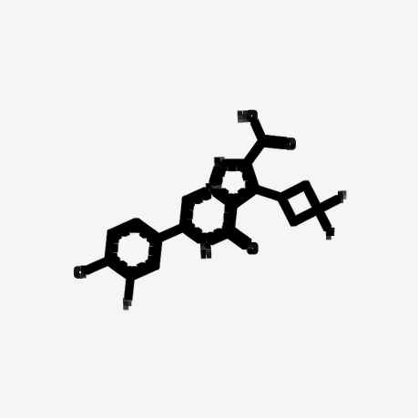 O=C(O)c1nn2cc(-c3ccc(Cl)c(F)c3)[nH]c(=O)c2c1C1CC(F)(F)C1